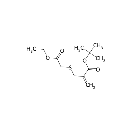 C=C(CSCC(=O)OCC)C(=O)OC(C)(C)C